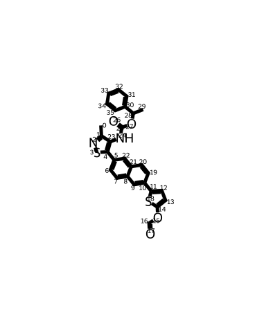 Cc1nsc(-c2ccc3cc(-c4ccc(OC=O)s4)ccc3c2)c1NC(=O)OC(C)c1ccccc1